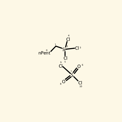 CCCCCC[Si](Cl)(Cl)Cl.O=S(=O)(Cl)Cl